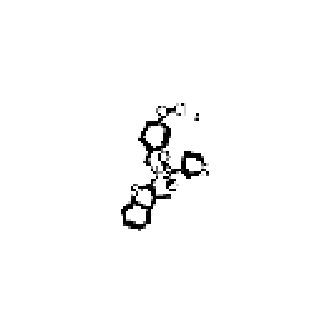 Cc1c(N(Cc2ccc(OC(F)(F)F)cc2)S(=O)(=O)c2ccsc2)sc2ccccc12